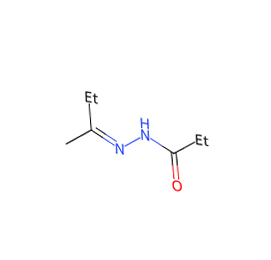 CCC(=O)N/N=C(/C)CC